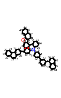 c1cc(-c2ccc(N(c3ccc(-c4ccc5c(ccc6ccccc65)c4)cc3)c3ccccc3-c3cccc4oc5c6ccccc6ccc5c34)cc2)cc(-c2cccc3ccccc23)c1